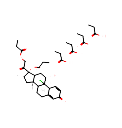 CCC(=O)O.CCC(=O)O.CCC(=O)O.CCC(=O)O.CCC(=O)OCC(=O)[C@@]1(OC(=O)CC)[C@@H](C)C[C@H]2[C@@H]3CCC4=CC(=O)C=C[C@]4(C)C3(Cl)[C@@H](O)C[C@@]21C